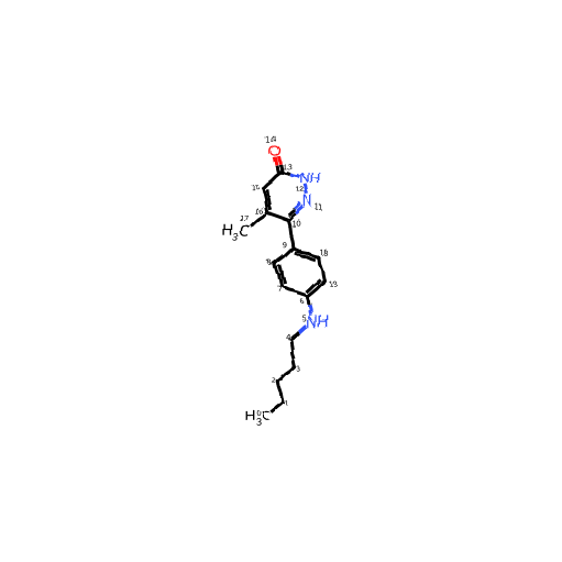 CCCCCNc1ccc(-c2n[nH]c(=O)cc2C)cc1